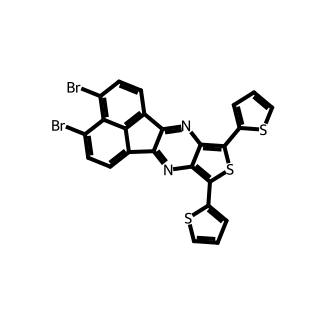 Brc1ccc2c3c(ccc(Br)c13)-c1nc3c(-c4cccs4)sc(-c4cccs4)c3nc1-2